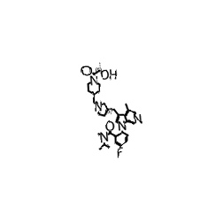 Cc1cncc2c1c(C[C@H]1CCN(CC3CCN(C(=O)[C@H](C)O)CC3)C1)cn2-c1ccc(F)cc1C(=O)N(C)C(C)C